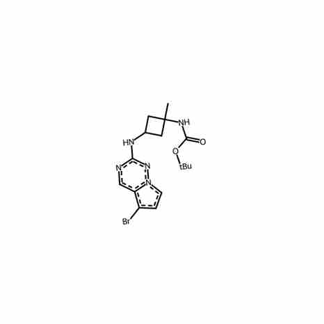 CC1(NC(=O)OC(C)(C)C)CC(Nc2ncc3c(Br)ccn3n2)C1